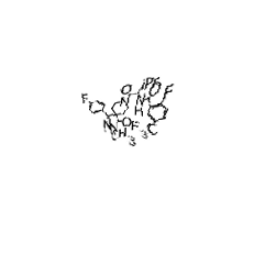 CC(C)C(NC(=O)c1cc(C(F)(F)F)ccc1F)C(=O)N1CCC2(CC1)C(=O)N(C)N=C2c1ccc(F)cc1